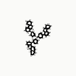 c1cc(-c2cccc3oc4c5ccccc5ccc4c23)cc(N(c2ccc(-c3cccc4c3ccc3ccccc34)cc2)c2ccc(-c3cccc4c3ccc3ccccc34)cc2)c1